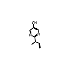 C=CC(C)c1ncc(C#N)cn1